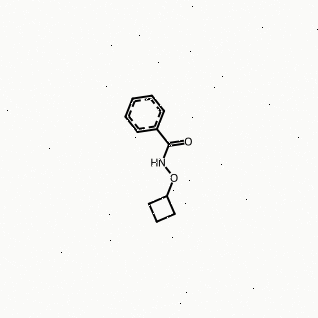 O=C(NOC1CCC1)c1ccccc1